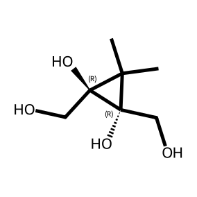 CC1(C)[C@@](O)(CO)[C@]1(O)CO